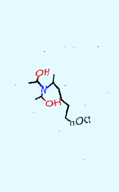 CCCCCCCCCCCCC(C)N(C(C)O)C(C)O